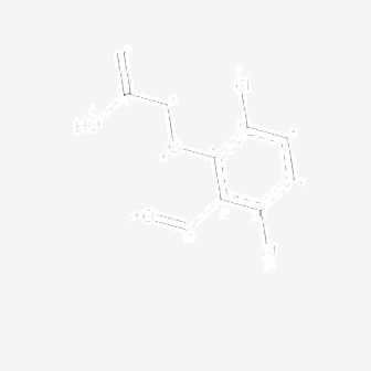 C=C(O)COc1c(Cl)ccc(Cl)c1C=O